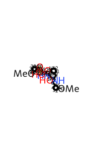 COc1cccc(CNC(Cc2ccccc2)[C@H](O)CNC(=O)C(O)CS(=O)(=O)c2cccc(OC)c2)c1